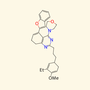 CCC1=CC(CCCc2nc3c(c(N4CCOCC4)n2)C(c2cc4ccccc4o2)=CCC3)CC=C1OC